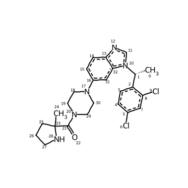 C[C@H](c1ccc(Cl)cc1Cl)n1cnc2ccc(N3CCN(C(=O)C4(C)CCCN4)CC3)cc21